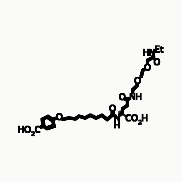 CCNC(=O)COCCOCCNC(=O)CC[C@@H](NC(=O)CCCCCCCCCOc1ccc(C(=O)O)cc1)C(=O)O